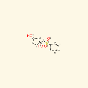 O=S(=O)(CC1(O)CCC(O)C1)c1ccccc1